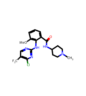 COc1cccc(C(=O)NC2CCN(C)CC2)c1Nc1ncc(C(F)(F)F)c(Cl)n1